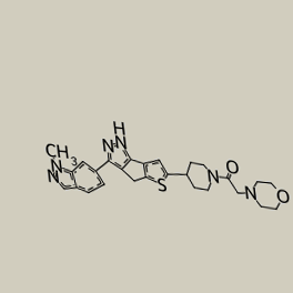 Cn1ncc2ccc(-c3n[nH]c4c3Cc3sc(C5CCN(C(=O)CN6CCOCC6)CC5)cc3-4)cc21